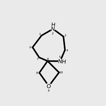 C1CNCCNC2(C1)COC2